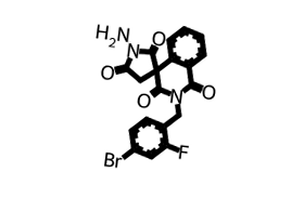 NN1C(=O)CC2(C1=O)C(=O)N(Cc1ccc(Br)cc1F)C(=O)c1ccccc12